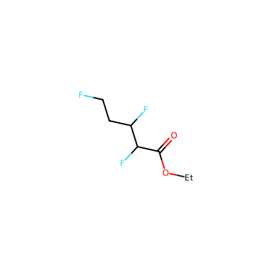 CCOC(=O)C(F)C(F)CCF